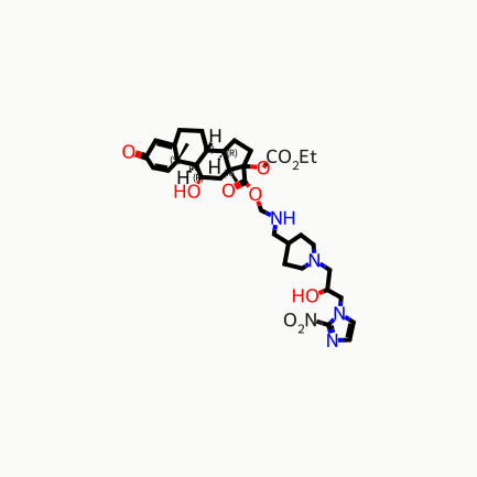 CCOC(=O)OC1(C(=O)OCNCC2CCN(CC(O)Cn3ccnc3[N+](=O)[O-])CC2)CC[C@@H]2[C@H]3CCC4=CC(=O)C=C[C@@]4(C)[C@@H]3[C@H](O)C[C@]21C